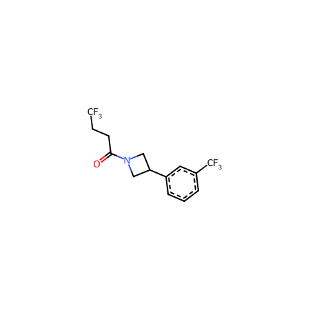 O=C(CCC(F)(F)F)N1CC(c2cccc(C(F)(F)F)c2)C1